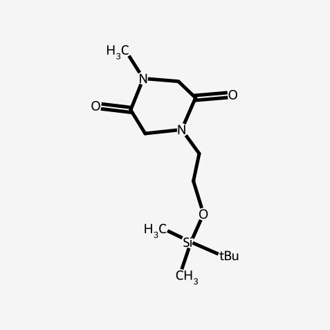 CN1CC(=O)N(CCO[Si](C)(C)C(C)(C)C)CC1=O